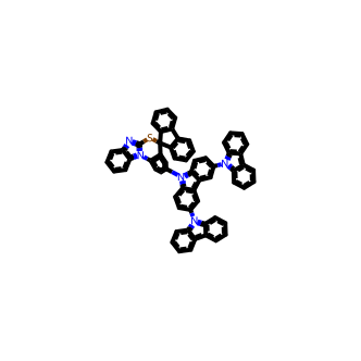 c1ccc2c(c1)-c1ccccc1C21Sc2nc3ccccc3n2-c2ccc(-n3c4ccc(-n5c6ccccc6c6ccccc65)cc4c4cc(-n5c6ccccc6c6ccccc65)ccc43)cc21